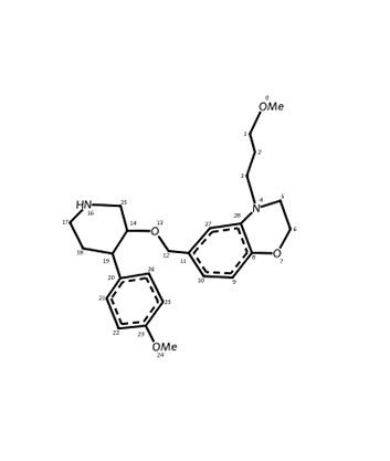 COCCCN1CCOc2ccc(COC3CNCCC3c3ccc(OC)cc3)cc21